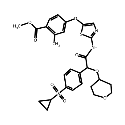 COC(=O)c1ccc(Oc2cnc(NC(=O)C(OC3CCOCC3)c3ccc(S(=O)(=O)C4CC4)cc3)s2)cc1C